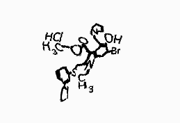 CCOC(=O)c1c(CSc2cccc(Cl)c2)n(CC)c2cc(Br)c(O)c(CN3CCCC3)c12.Cl